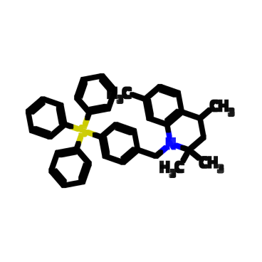 Cc1ccc2c(c1)N(Cc1ccc(S(c3ccccc3)(c3ccccc3)c3ccccc3)cc1)C(C)(C)CC2C